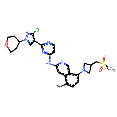 CC(C)c1ccc(N2CC(CS(C)(=O)=O)C2)c2cnc(Nc3ccnc(-c4cn(C5CCOCC5)nc4Cl)n3)cc12